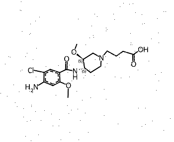 COc1cc(N)c(Cl)cc1C(=O)N[C@H]1CCN(CCCC(=O)O)C[C@@H]1OC